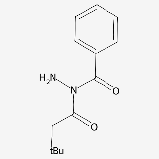 CC(C)(C)CC(=O)N(N)C(=O)c1ccccc1